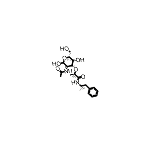 CC(=O)N[C@H]1C(O)O[C@H](CO)[C@H](O)[C@@H]1O[C@H](C)C(=O)N[C@@H](C)Cc1ccccc1